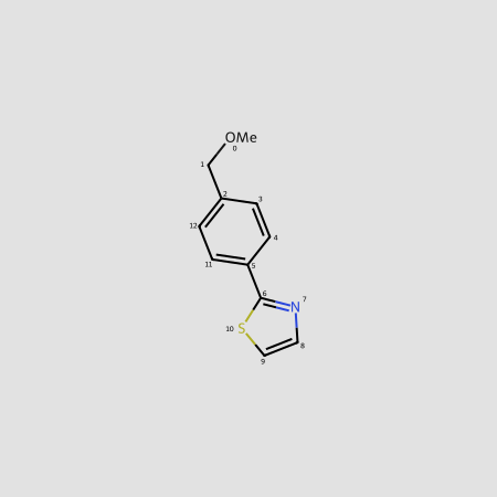 COCc1ccc(-c2nccs2)cc1